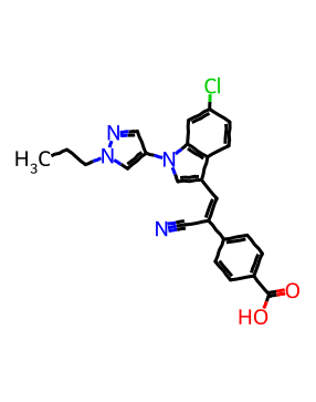 CCCn1cc(-n2cc(C=C(C#N)c3ccc(C(=O)O)cc3)c3ccc(Cl)cc32)cn1